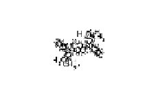 CC(C)(C)c1ccc2c(c1)c1cc3c(cc1n2-c1ccc2ccc4c(-n5c6ccc(C(C)(C)C)cc6c6cc7ccccc7cc65)ccc5ccc1c2c54)C=CCC3